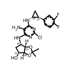 CC1(C)O[C@@H]2[C@H](O1)[C@@H](O)C[C@H]2Nc1nc(Cl)nc(N[C@@H]2C[C@H]2c2ccc(F)c(F)c2)c1N